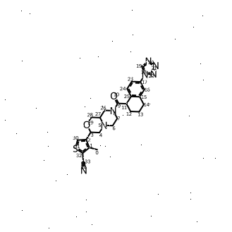 Cc1c(C2CN3CCN(C(=O)C4CCCc5cc(-n6cnnn6)ccc54)CC3CO2)csc1C#N